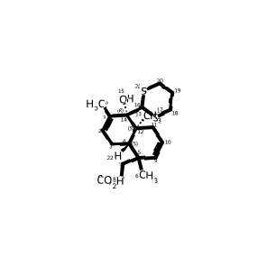 CC1=CC[C@H]2C(C)(CC(=O)O)C=CC[C@]2(C)[C@]1(O)C1SCCCS1